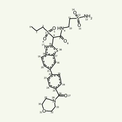 CCCS(=O)(=O)C(C(=O)NCCS(N)(=O)=O)c1nc2ccc(-c3ccc(C(=O)N4CCOCC4)cc3)cc2s1